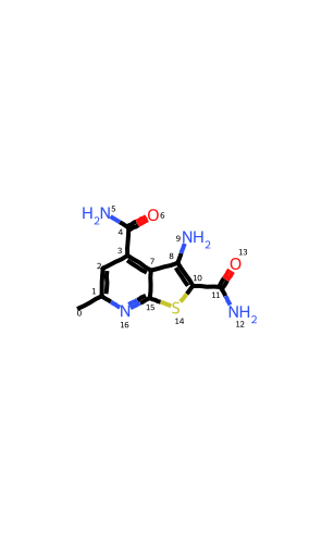 Cc1cc(C(N)=O)c2c(N)c(C(N)=O)sc2n1